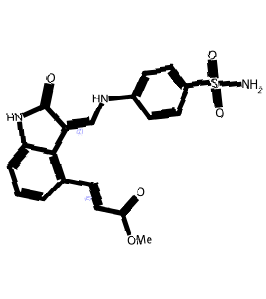 COC(=O)/C=C/c1cccc2c1/C(=C/Nc1ccc(S(N)(=O)=O)cc1)C(=O)N2